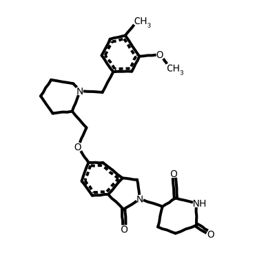 COc1cc(CN2CCCCC2COc2ccc3c(c2)CN(C2CCC(=O)NC2=O)C3=O)ccc1C